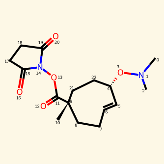 CN(C)O[C@@H]1/C=C/CC[C@](C)(C(=O)ON2C(=O)CCC2=O)CC1